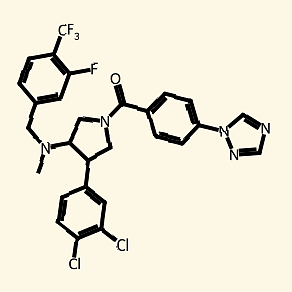 CN(Cc1ccc(C(F)(F)F)c(F)c1)C1CN(C(=O)c2ccc(-n3cncn3)cc2)CC1c1ccc(Cl)c(Cl)c1